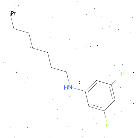 CC(C)CCCCCCNc1cc(F)cc(F)c1